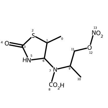 CC1SC(=O)NC1N(C(=O)O)C(C)CO[N+](=O)[O-]